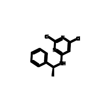 C[C@H](Nc1cc(Cl)nc(Cl)n1)c1ccccc1